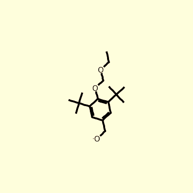 CCOCOc1c(C(C)(C)C)cc(C[O])cc1C(C)(C)C